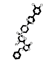 CC(C)[C@@H](CS(=O)(=O)N1CCN(c2ncc(-c3ccc(Cl)c(Cl)c3)cn2)CC1)C(=O)N1C(=O)OC[C@H]1Cc1ccccc1